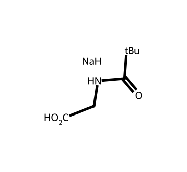 CC(C)(C)C(=O)NCC(=O)O.[NaH]